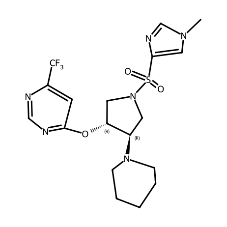 Cn1cnc(S(=O)(=O)N2C[C@@H](N3CCCCC3)[C@H](Oc3cc(C(F)(F)F)ncn3)C2)c1